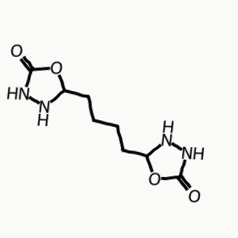 O=C1NNC(CCCCC2NNC(=O)O2)O1